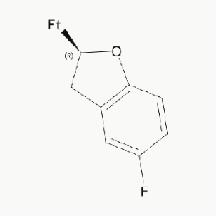 CC[C@@H]1Cc2cc(F)ccc2O1